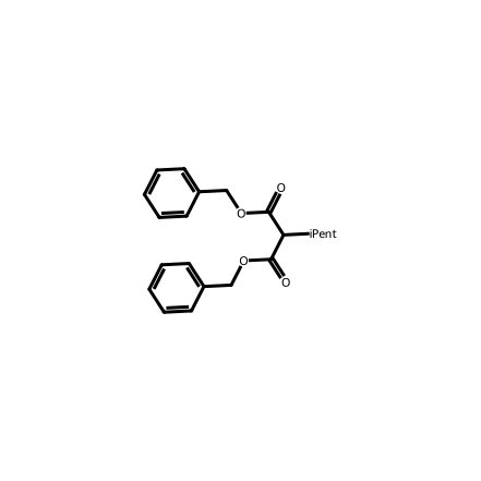 CCCC(C)C(C(=O)OCc1ccccc1)C(=O)OCc1ccccc1